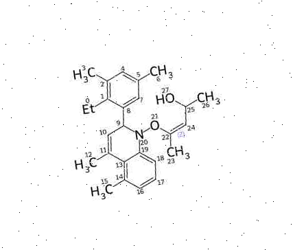 CCc1c(C)cc(C)cc1C1C=C(C)c2c(C)cccc2N1O/C(C)=C\C(C)O